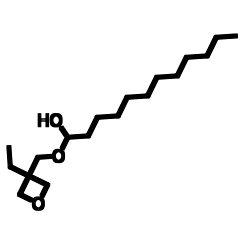 CCCCCCCCCCCC(O)OCC1(CC)COC1